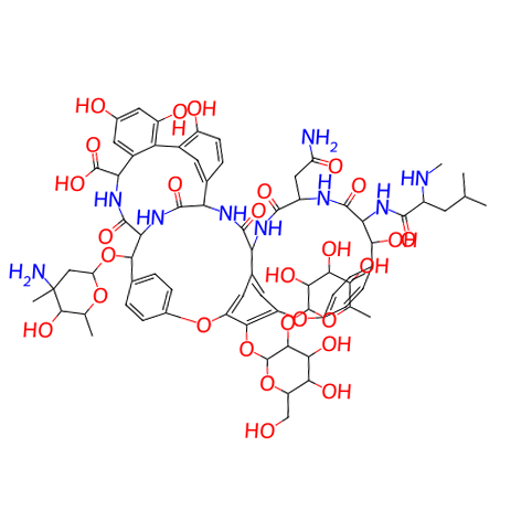 CNC(CC(C)C)C(=O)NC1C(=O)NC(CC(N)=O)C(=O)NC2C(=O)NC3C(=O)NC(C(=O)NC(C(=O)O)c4cc(O)cc(O)c4-c4cc3ccc4O)C(OC3CC(C)(N)C(O)C(C)O3)c3ccc(cc3)Oc3cc2cc(c3OC2OC(CO)C(O)C(O)C2OC2OC(C)C(O)C(O)C2O)Oc2ccc(cc2)C1O